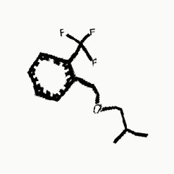 CC(C)COCc1ccccc1C(F)(F)F